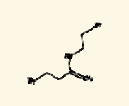 C=C(CCC(C)C)NCCC(C)C